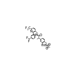 CC(C(=O)NCc1ccc(C(F)(F)F)nc1-c1cccc(C(F)F)c1)c1ccc(CNS(C)(=O)=O)c(F)c1